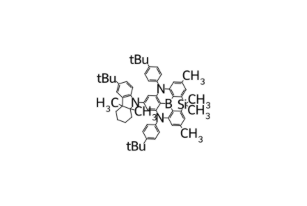 Cc1cc2c3c(c1)[Si](C)(C)c1cc(C)cc4c1B3c1c(cc(N3c5ccc(C(C)(C)C)cc5C5(C)CCCCC35C)cc1N4c1ccc(C(C)(C)C)cc1)N2c1ccc(C(C)(C)C)cc1